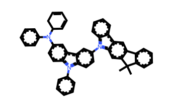 CC1(C)c2ccccc2-c2cc3c4ccccc4n(-c4ccc5c(c4)c4cc(N(c6ccccc6)C6C=CC=CC6)ccc4n5-c4ccccc4)c3cc21